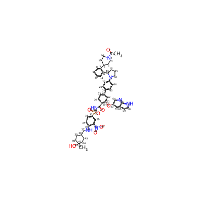 CC(=O)N1CCC(c2ccccc2[C@H]2CCCN2c2ccc(-c3ccc(C(=O)NS(=O)(=O)c4ccc(NCC5CCC(C)(O)CC5)c([N+](=O)[O-])c4)c(Oc4cnc5[nH]ccc5c4)c3)cc2)CC1